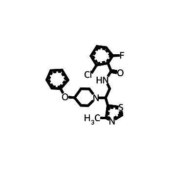 Cc1ncsc1C(CNC(=O)c1c(F)cccc1Cl)N1CCC(Oc2ccccc2)CC1